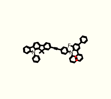 CC1(C)c2cc(C#Cc3ccc(N(c4ccccc4)c4c(F)cc(-c5ccccc5)cc4-c4ccccc4)cc3)ccc2-c2ccc3c4ccccc4n(-c4ccccc4)c3c21